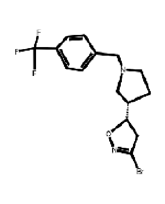 FC(F)(F)c1ccc(CN2CC[C@H](C3CC(Br)=NO3)C2)cc1